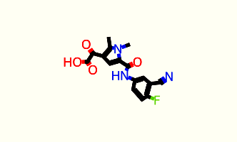 Cc1c(C(=O)C(=O)O)cc(C(=O)Nc2ccc(F)c(C#N)c2)n1C